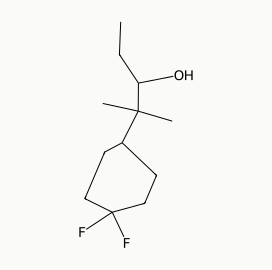 CCC(O)C(C)(C)C1CCC(F)(F)CC1